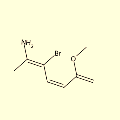 C=C(/C=C\C(Br)=C(/C)N)OC